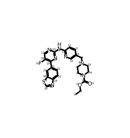 CCOC(=O)N1CCN(Cc2ccc(Nc3ncc(F)c(-c4ccc5ncsc5c4)n3)nc2)CC1